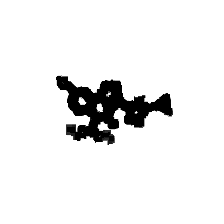 CC(C)n1c(=O)c2c(-c3nc(C4CC4)no3)ncn2c2cc(Cl)ccc21